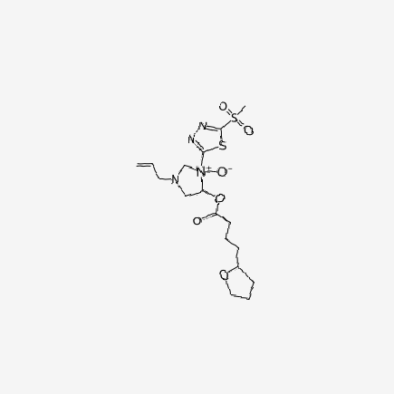 C=CCN1CC(OC(=O)CCCC2CCCO2)[N+]([O-])(c2nnc(S(C)(=O)=O)s2)C1